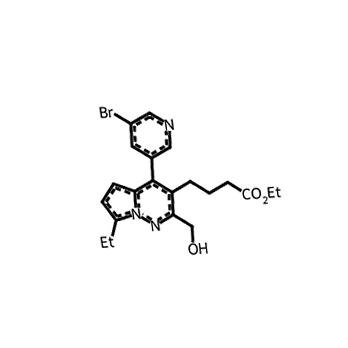 CCOC(=O)CCCc1c(CO)nn2c(CC)ccc2c1-c1cncc(Br)c1